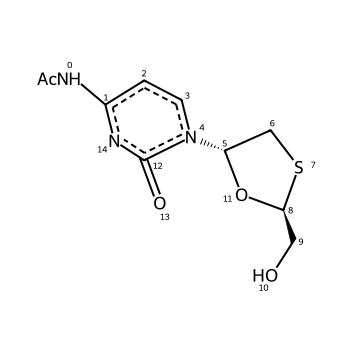 CC(=O)Nc1ccn([C@@H]2CS[C@@H](CO)O2)c(=O)n1